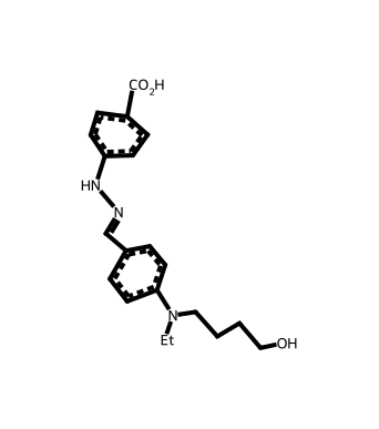 CCN(CCCCO)c1ccc(/C=N/Nc2ccc(C(=O)O)cc2)cc1